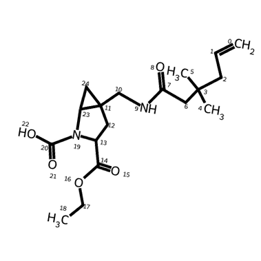 C=CCC(C)(C)CC(=O)NCC12CC(C(=O)OCC)N(C(=O)O)C1C2